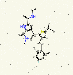 C=C(NCC)c1cc2c([nH]1)C(=C)N(C)C=C2c1sc(C(C)C)cc1CCc1c(C)cc(F)cc1C